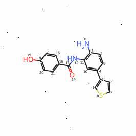 Nc1ccc(-c2ccsc2)cc1NC(=O)c1ccc(O)cc1